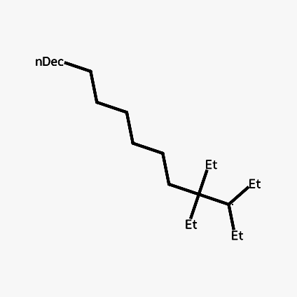 CCCCCCCCCCCCCCCCC(CC)(CC)[C](CC)CC